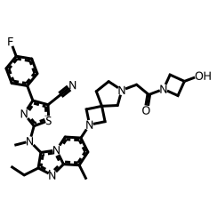 CCc1nc2c(C)cc(N3CC4(CCN(CC(=O)N5CC(O)C5)C4)C3)cn2c1N(C)c1nc(-c2ccc(F)cc2)c(C#N)s1